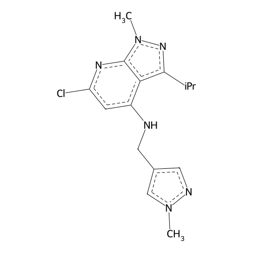 CC(C)c1nn(C)c2nc(Cl)cc(NCc3cnn(C)c3)c12